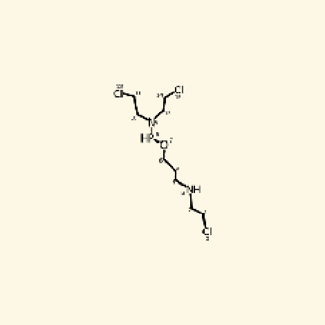 ClCCNCCCOPN(CCCl)CCCl